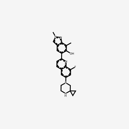 Cc1c(O)c(-c2ccc3cc(N4CCNC5(CC5)C4)cc(F)c3n2)cc2cn(C)nc12